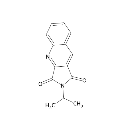 CC(C)N1C(=O)c2cc3ccccc3nc2C1=O